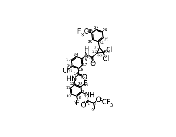 CC(OC(F)(F)F)C(=O)Nc1c(F)ccc(NC(=O)c2cc(NC(=O)[C@H]3C(c4cccc(C(F)(F)F)c4)C3(Cl)Cl)ccc2Cl)c1F